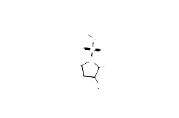 O=C(O)NS(=O)(=O)N1CCC(F)C1